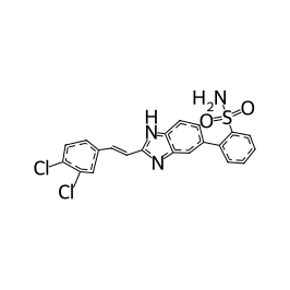 NS(=O)(=O)c1ccccc1-c1ccc2[nH]c(C=Cc3ccc(Cl)c(Cl)c3)nc2c1